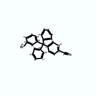 N#Cc1ccc(C(c2ccccc2)(c2ccccc2)c2cccc(Br)c2)cn1